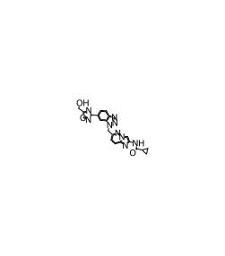 O=C(Nc1cn2nc(Cn3nnc4ccc(-c5noc(CO)n5)cc43)ccc2n1)C1CC1